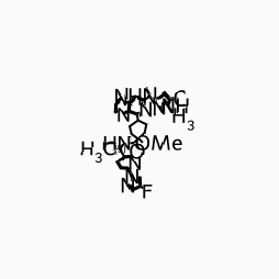 COC1(C(=O)N[C@@H](C)c2ccc(-n3cc(F)cn3)nc2)CCC(c2nc(Nc3cc(C)[nH]n3)cc3nccnc23)CC1